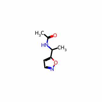 CC(=O)NC(C)c1ccno1